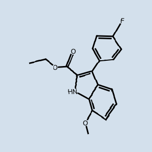 CCOC(=O)c1[nH]c2c(OC)cccc2c1-c1ccc(F)cc1